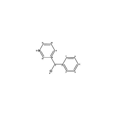 [O]C(c1ccccc1)c1cccnc1